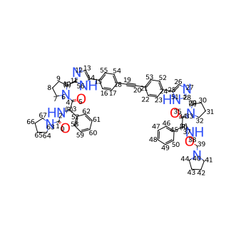 O=C(N[C@@H](C(=O)N1CCC[C@H]1c1ncc(-c2ccc(C#Cc3ccc(-c4cnc([C@@H]5CCCN5C(=O)[C@H](NOCN5CCCC5)c5ccccc5)[nH]4)cc3)cc2)[nH]1)c1ccccc1)N1CCCC1